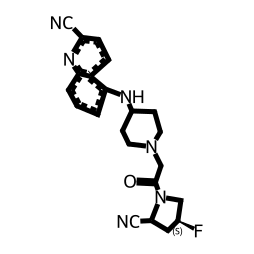 N#Cc1ccc2c(NC3CCN(CC(=O)N4C[C@@H](F)CC4C#N)CC3)cccc2n1